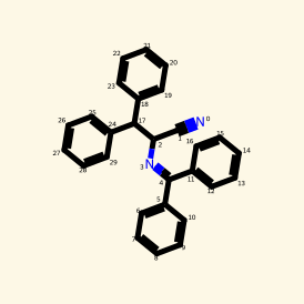 N#CC(N=C(c1ccccc1)c1ccccc1)C(c1ccccc1)c1ccccc1